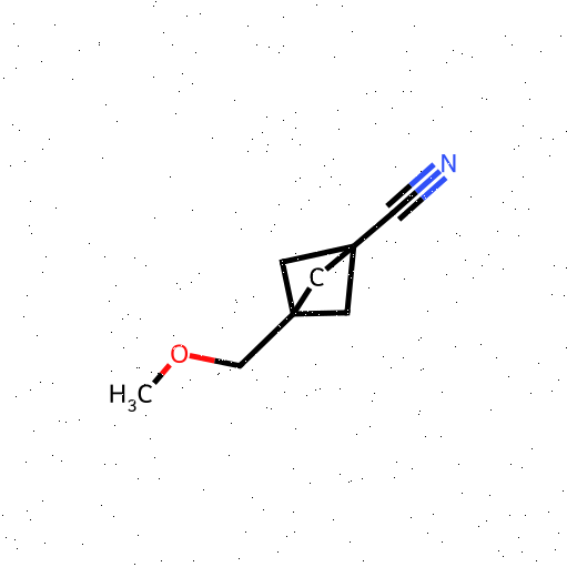 COCC12CC(C#N)(C1)C2